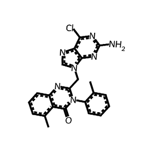 Cc1ccccc1-n1c(Cn2cnc3c(Cl)nc(N)nc32)nc2cccc(C)c2c1=O